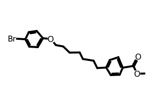 COC(=O)c1ccc(CCCCCCCOc2ccc(Br)cc2)cc1